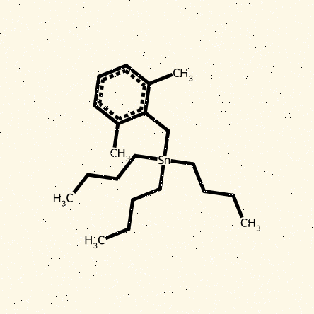 CCC[CH2][Sn]([CH2]CCC)([CH2]CCC)[CH2]c1c(C)cccc1C